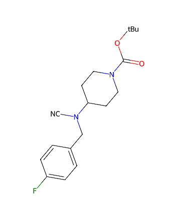 CC(C)(C)OC(=O)N1CCC(N(C#N)Cc2ccc(F)cc2)CC1